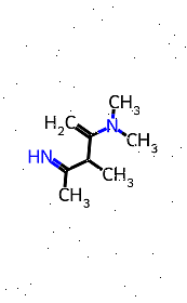 C=C(C(C)C(C)=N)N(C)C